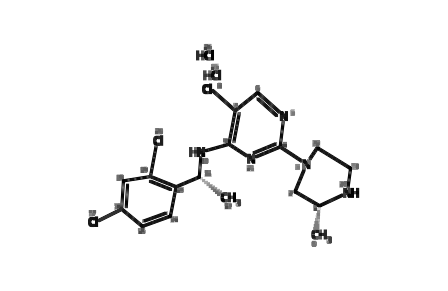 C[C@@H]1CN(c2ncc(Cl)c(N[C@H](C)c3ccc(Cl)cc3Cl)n2)CCN1.Cl.Cl